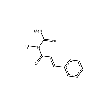 CNC(=N)N(C)C(=O)C=Cc1ccccc1